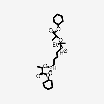 CCC(C)(OC(C)C(=O)OC1CCCCC1)[PH](=O)CCCC[PH](=O)OC(C)C(=O)OC1CCCCC1